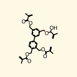 C=C(C)C(=O)OCc1cc(COC(O)C(=C)C)cc(-c2ccc(COC(=O)C(=C)C)c(COC(=O)C(=C)C)c2)c1